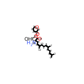 CC(C)=CCCC(C)=CCCC(C)=CCC(N)(C=O)C(=O)OOC1CCCOC1